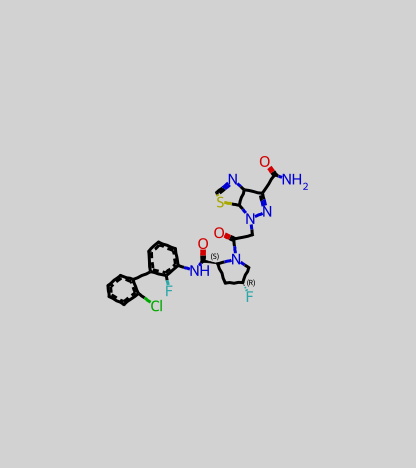 NC(=O)C1=NN(CC(=O)N2C[C@H](F)C[C@H]2C(=O)Nc2cccc(-c3ccccc3Cl)c2F)C2SC=NC12